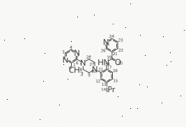 Cc1nccnc1N1CCN(c2cc(C(C)C)ccc2NC(=O)c2cccnc2)CC1